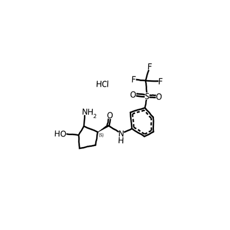 Cl.NC1C(O)CC[C@@H]1C(=O)Nc1cccc(S(=O)(=O)C(F)(F)F)c1